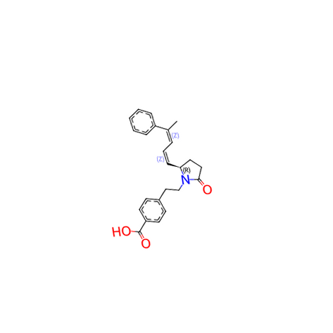 C/C(=C/C=C\[C@H]1CCC(=O)N1CCc1ccc(C(=O)O)cc1)c1ccccc1